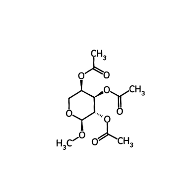 CO[C@H]1OC[C@@H](OC(C)=O)[C@@H](OC(C)=O)[C@@H]1OC(C)=O